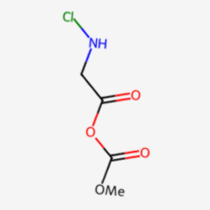 COC(=O)OC(=O)CNCl